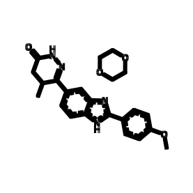 C1COCCO1.COc1ccc(-c2nc3cc(C4=NNC(=O)CC4C)ccc3[nH]2)cc1